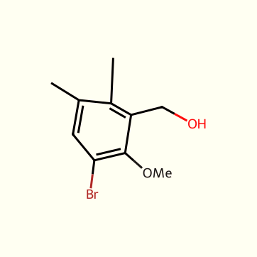 COc1c(Br)cc(C)c(C)c1CO